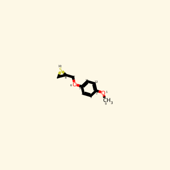 COc1ccc(OCC2CS2)cc1